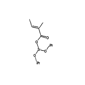 CC=C(C)C(=O)[O][Zr]([O]C(C)C)[O]C(C)C